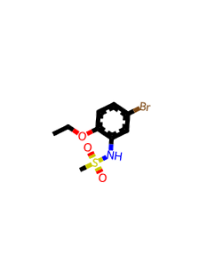 CCOc1ccc(Br)cc1NS(C)(=O)=O